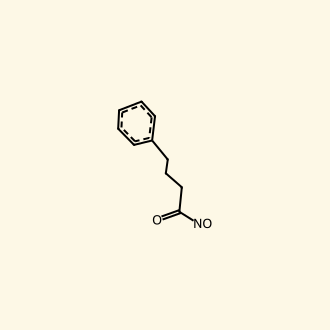 O=NC(=O)CCCc1ccccc1